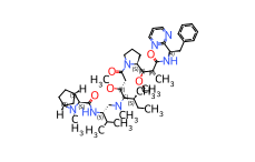 CC[C@H](C)[C@@H]([C@@H](CC(=O)N1CCC[C@H]1[C@H](OC)[C@@H](C)C(=O)N[C@H](Cc1ccccc1)c1ncccn1)OC)N(C)C[C@@H](NC(=O)[C@@H]1[C@H]2CC[C@H](C2)N1C)C(C)C